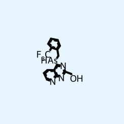 OCc1nc([AsH]Cc2ccccc2C(F)(F)F)c2cccnc2n1